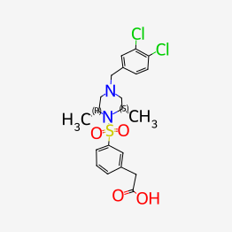 C[C@@H]1CN(Cc2ccc(Cl)c(Cl)c2)C[C@H](C)N1S(=O)(=O)c1cccc(CC(=O)O)c1